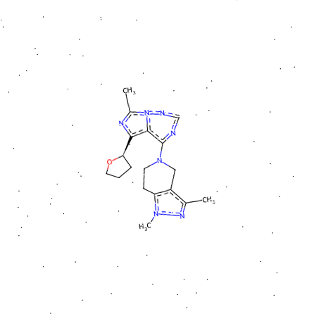 Cc1nn(C)c2c1CN(c1ncnn3c(C)nc([C@H]4CCCO4)c13)CC2